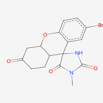 CN1C(=O)NC2(C1=O)c1cc(Br)ccc1OC1CC(=O)CCC12